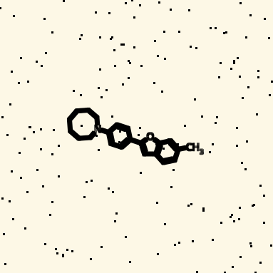 Cc1ccc2cc(-c3ccc(N4CCCCCCC4)cc3)oc2c1